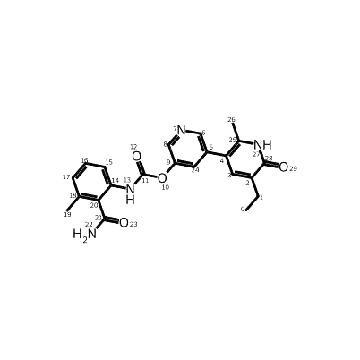 CCc1cc(-c2cncc(OC(=O)Nc3cccc(C)c3C(N)=O)c2)c(C)[nH]c1=O